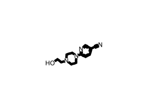 N#Cc1ccc(N2CCN(CCO)CC2)nc1